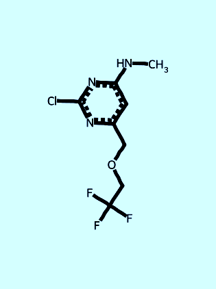 CNc1cc(COCC(F)(F)F)nc(Cl)n1